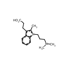 Cc1c(CCC(=O)O)c2ccccc2n1CCCN(C)C